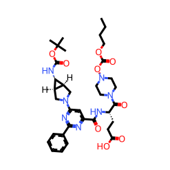 CCCCOC(=O)ON1CCN(C(=O)[C@H](CCC(=O)O)NC(=O)c2cc(N3C[C@@H]4[C@H](C3)[C@H]4NC(=O)OC(C)(C)C)nc(-c3ccccc3)n2)CC1